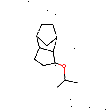 CC(C)OC1CCC2C3CCC(C3)C12